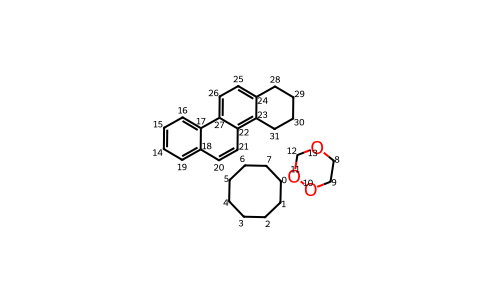 C1CCCCCCC1.C1COOCO1.c1ccc2c(c1)ccc1c3c(ccc12)CCCC3